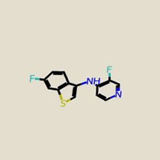 Fc1ccc2c(Nc3ccncc3F)csc2c1